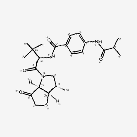 CC(C)C(=O)Nc1ccc(C(=O)NC(C(=O)N2C[C@H](C)[C@H]3OCC(=O)[C@H]32)C(C)(C)C)cc1